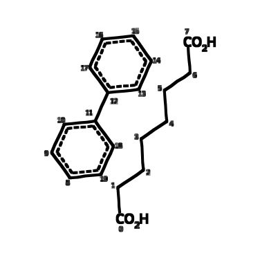 O=C(O)CCCCCCC(=O)O.c1ccc(-c2ccccc2)cc1